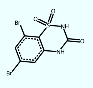 O=C1Nc2cc(Br)cc(Br)c2S(=O)(=O)N1